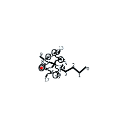 CCCC[Si](C)(C)C(S(C)(=O)=O)(S(C)(=O)=O)S(C)(=O)=O